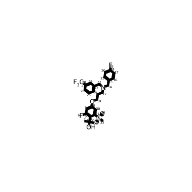 CC(C)(O)c1c(F)cc(OCCCN(Cc2ccc(F)cc2)Cc2cccc(C(F)(F)F)c2)cc1S(C)(=O)=O